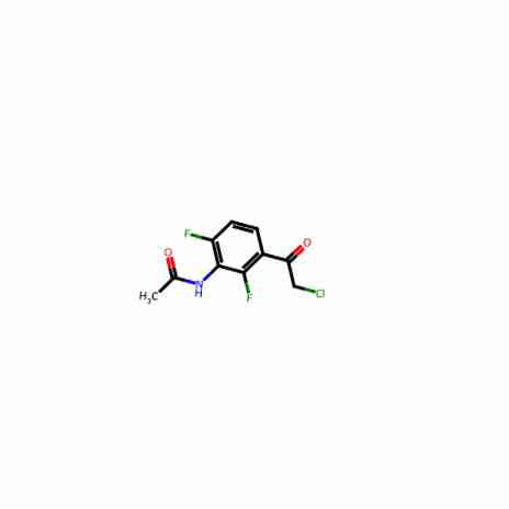 CC(=O)Nc1c(F)ccc(C(=O)CCl)c1F